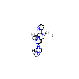 Cc1nc(CN(C)[C@@H](C)c2ccccn2)cc(N2CCN3CCC[C@H]3C2)n1